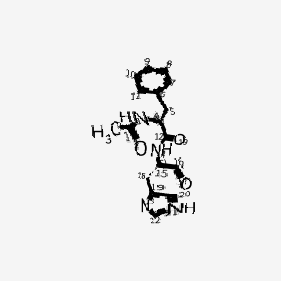 CC(=O)N[C@@H](Cc1ccccc1)C(=O)N[C@H]([C]=O)Cc1c[nH]cn1